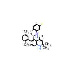 COc1ccc(C(F)(F)F)cc1-c1ccc2c(c1CNc1cc(F)ccc1C)C(C)=CC(C)(C)N2